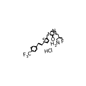 Cl.NC/C(=C\F)Cn1ncn(Cc2ccc(/C=C/c3ccc(C(F)(F)F)cc3)s2)c1=O